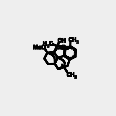 CO[C@]12CCC3(CC1C(C)(O)C(C)(C)C)C1Cc4ccc(C)c5c4C3(CCN1C)C2O5